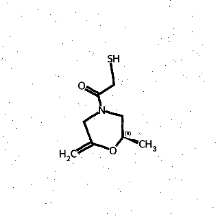 C=C1CN(C(=O)CS)C[C@@H](C)O1